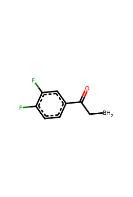 BCC(=O)c1ccc(F)c(F)c1